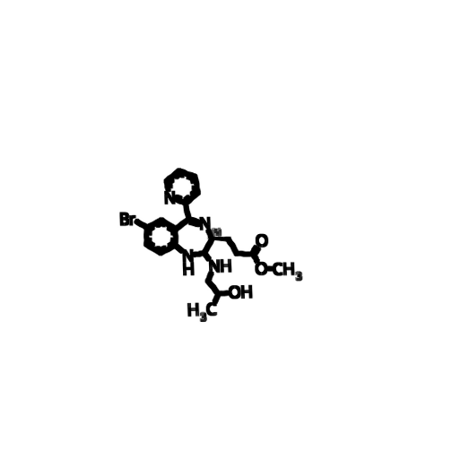 COC(=O)CC[C@@H]1N=C(c2ccccn2)c2cc(Br)ccc2NC1NCC(C)O